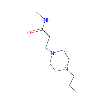 CCCN1CCN(CCC(=O)NC)CC1